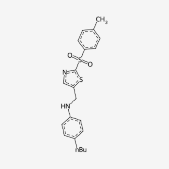 CCCCc1ccc(NCc2cnc(S(=O)(=O)c3ccc(C)cc3)s2)cc1